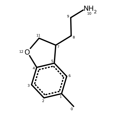 Cc1ccc2c(c1)C(CCN)CO2